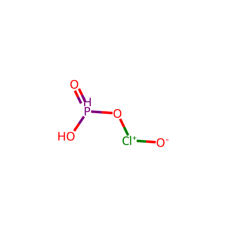 O=[PH](O)O[Cl+][O-]